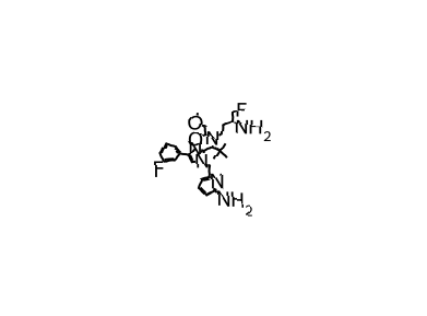 COCC(=O)N(CC[C@@H](N)CF)[C@@H](c1nc(-c2cccc(F)c2)cn1Cc1cccc(N)n1)C(C)(C)C